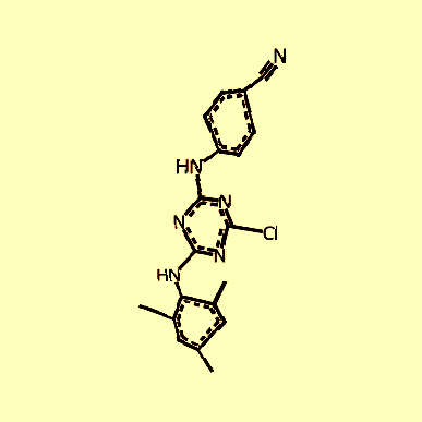 Cc1cc(C)c(Nc2nc(Cl)nc(Nc3ccc(C#N)cc3)n2)c(C)c1